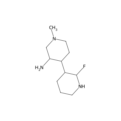 CN1CCC(C2CCCNC2F)C(N)C1